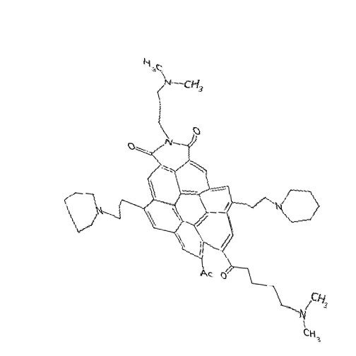 CC(=O)c1cc2cc(CCN3CCCCC3)c3cc4c5c(cc6cc(CCN7CCCCC7)c7cc(C(=O)CCCCN(C)C)c1c1c2c3c5c6c71)C(=O)N(CCCN(C)C)C4=O